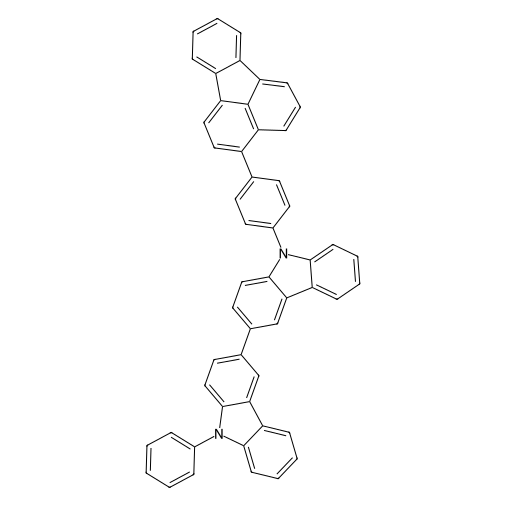 c1ccc(-n2c3ccccc3c3cc(-c4ccc5c(c4)c4ccccc4n5-c4ccc(-c5ccc6c7c(cccc57)-c5ccccc5-6)cc4)ccc32)cc1